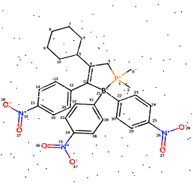 C[P+]1(C)CC(C2CCCCC2)=C(c2ccc([N+](=O)[O-])cc2)[B-]1(c1ccc([N+](=O)[O-])cc1)c1ccc([N+](=O)[O-])cc1